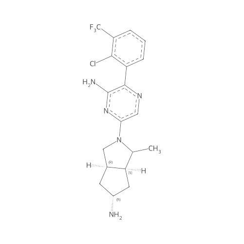 CC1[C@H]2C[C@H](N)C[C@H]2CN1c1cnc(-c2cccc(C(F)(F)F)c2Cl)c(N)n1